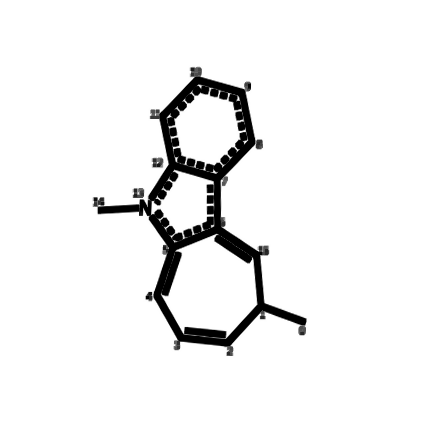 CC1C=CC=c2c(c3ccccc3n2C)=C1